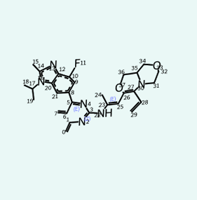 C=C/N=C(\N=C(/C=C)c1cc(F)c2nc(C)n(C(C)C)c2c1)N/C(C)=C/C1=C(C=C)N2CCOCC2CO1